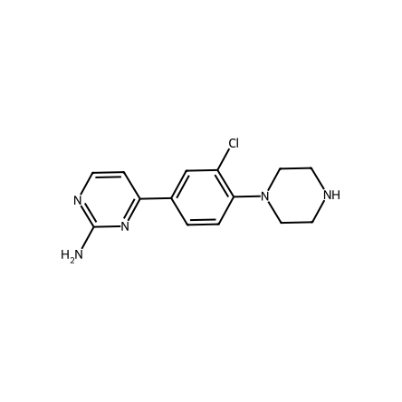 Nc1nccc(-c2ccc(N3CCNCC3)c(Cl)c2)n1